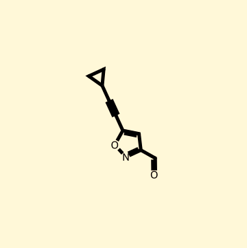 O=Cc1cc(C#CC2CC2)on1